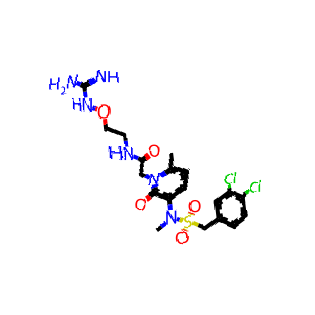 Cc1ccc(N(C)S(=O)(=O)Cc2ccc(Cl)c(Cl)c2)c(=O)n1CC(=O)NCCONC(=N)N